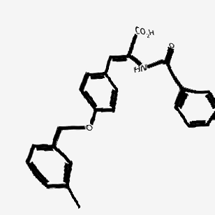 Cc1cccc(COc2ccc(C=C(NC(=O)c3ccccc3)C(=O)O)cc2)c1